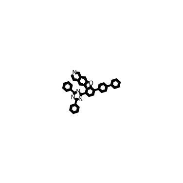 c1ccc(-c2ccc(-c3ccc(-c4nc(-c5ccccc5)nc(-c5ccccc5)n4)c4c3oc3cc5cnccc5cc34)cc2)cc1